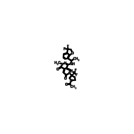 CC(=O)N1CC[C@](n2cc3c(NC(C)c4cccc5c4OCC5(F)F)nn(C)c(=O)c3cc2=O)(C(F)(F)F)C1